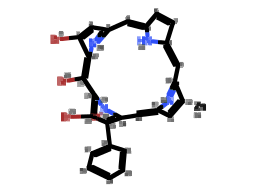 BrC1=Cc2cc3ccc(cc4nc(cc5c(-c6ccccc6)c(Br)c(c(Br)c1n2)n5Br)C=C4)[nH]3.[Zn]